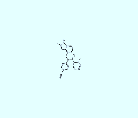 Cc1cc2c(CN(C(=O)c3ccncc3C)c3ccc(C#N)cc3)cccc2[nH]1